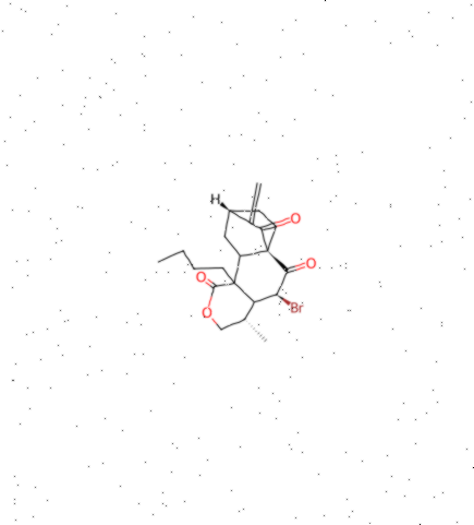 C=C1C(=O)[C@]23CC[C@H]1CC2C1(CCCC)C(=O)OC[C@@H](C)C1[C@H](Br)C3=O